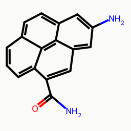 NC(=O)c1cc2cc(N)cc3ccc4cccc1c4c32